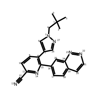 CC(C)(C)Cn1cc(-c2ccc(C#N)nc2-c2ccc3ccnnc3c2)cn1